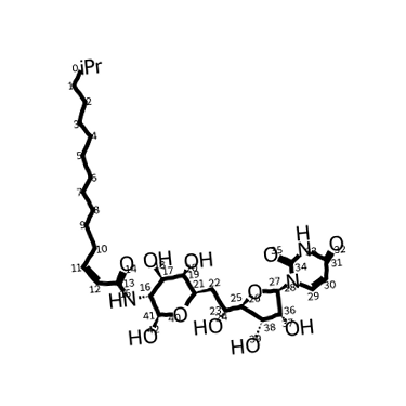 CC(C)CCCCCCCCCC/C=C\C(=O)N[C@@H]1[C@@H](O)[C@@H](O)[C@@H](C[C@@H](O)[C@H]2O[C@@H](n3ccc(=O)[nH]c3=O)[C@H](O)[C@@H]2O)O[C@H]1O